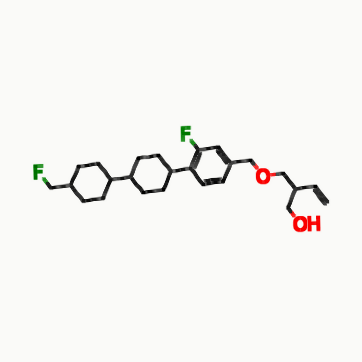 C=CC(CO)COCc1ccc(C2CCC(C3CCC(CF)CC3)CC2)c(F)c1